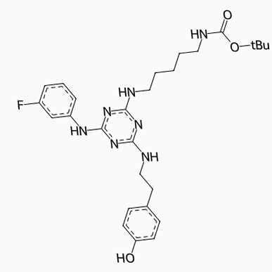 CC(C)(C)OC(=O)NCCCCCNc1nc(NCCc2ccc(O)cc2)nc(Nc2cccc(F)c2)n1